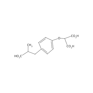 CC(Cc1ccc(OC(C(=O)O)C(=O)O)cc1)C(=O)O